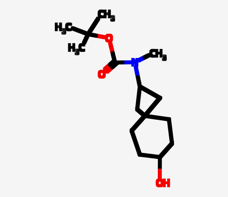 CN(C(=O)OC(C)(C)C)C1CC2(CCC(O)CC2)C1